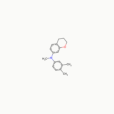 Cc1ccc(N(C)c2ccc3c(c2)OCCC3)cc1C